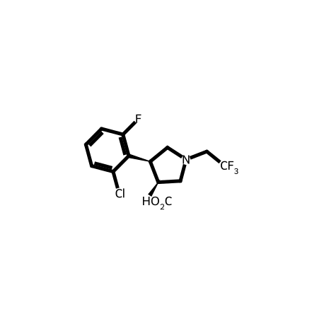 O=C(O)[C@@H]1CN(CC(F)(F)F)C[C@@H]1c1c(F)cccc1Cl